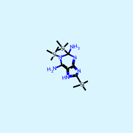 C[Si](C)(C)c1nc2c([nH]1)=C(N)N([Si](C)(C)C)C(N)([Si](C)(C)C)N=2